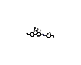 C=Cc1ccc(-c2ccc(/C=C/C3CCC(C=C)OC3)c(F)c2C(F)(F)F)cc1